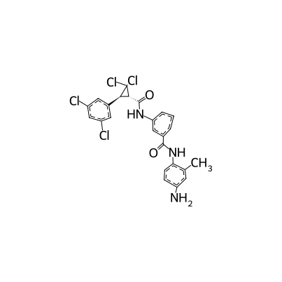 Cc1cc(N)ccc1NC(=O)c1cccc(NC(=O)[C@@H]2[C@@H](c3cc(Cl)cc(Cl)c3)C2(Cl)Cl)c1